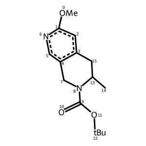 COc1cc2c(cn1)CN(C(=O)OC(C)(C)C)C(C)C2